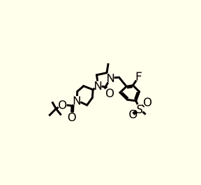 CC1CN(C2CCN(C(=O)OC(C)(C)C)CC2)C(=O)N1Cc1ccc(S(C)(=O)=O)cc1F